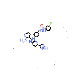 Nc1ncccc1-c1nc2ccc(C3C=NNC3)nc2n1-c1ccc(CNC(=O)c2cccc(F)c2)cc1